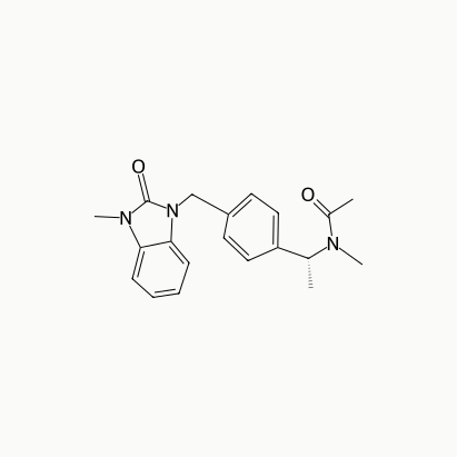 CC(=O)N(C)[C@H](C)c1ccc(Cn2c(=O)n(C)c3ccccc32)cc1